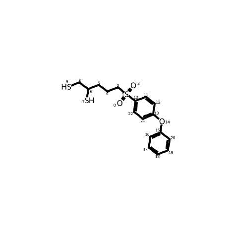 O=S(=O)(CCCC(S)CS)c1ccc(Oc2ccccc2)cc1